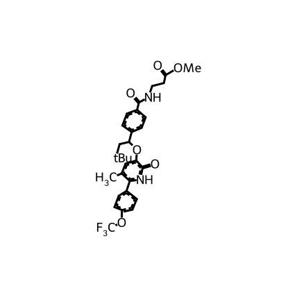 COC(=O)CCNC(=O)c1ccc(C(CC(C)(C)C)Oc2cc(C)c(-c3ccc(OC(F)(F)F)cc3)[nH]c2=O)cc1